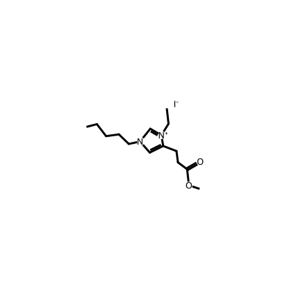 CCCCCn1cc(CCC(=O)OC)[n+](CC)c1.[I-]